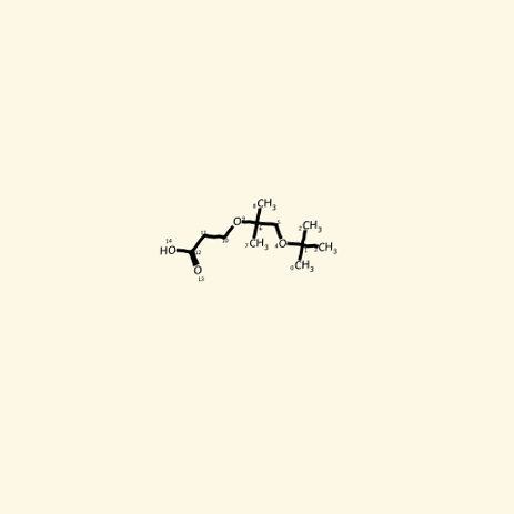 CC(C)(C)OCC(C)(C)OCCC(=O)O